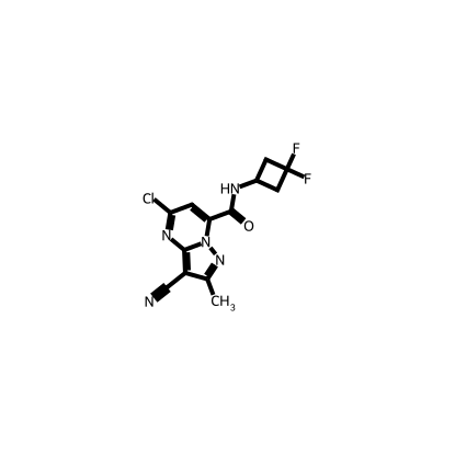 Cc1nn2c(C(=O)NC3CC(F)(F)C3)cc(Cl)nc2c1C#N